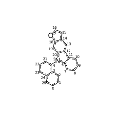 c1ccc2c(-n3c4ccccc4c4cc5ccoc5cc43)cccc2c1